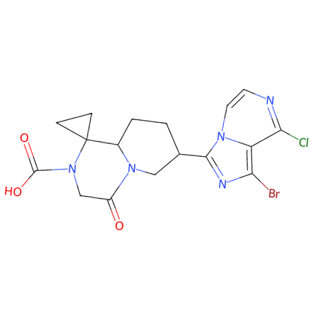 O=C1CN(C(=O)O)C2(CC2)C2CCC(c3nc(Br)c4c(Cl)nccn34)CN12